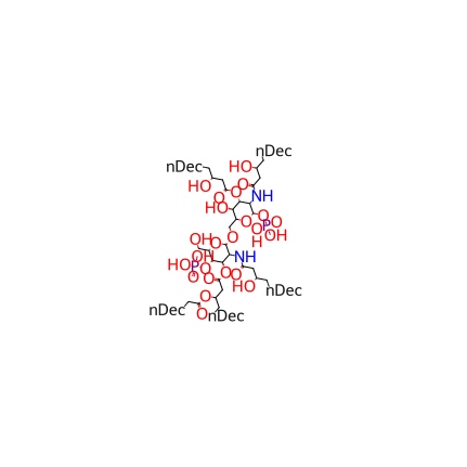 CCCCCCCCCCCC(=O)OC(CCCCCCCCCCC)CC(=O)O[C@H]1C(OP(=O)(O)O)C(CO)O[C@@H](OCC2OC(OP(=O)(O)O)C(NC(=O)CC(O)CCCCCCCCCCC)[C@@H](OC(=O)CC(O)CCCCCCCCCCC)[C@@H]2O)C1NC(=O)CC(O)CCCCCCCCCCC